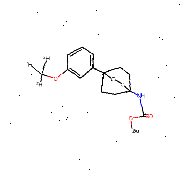 [2H]C([2H])([2H])Oc1cccc(C23CCC(NC(=O)OC(C)(C)C)(CC2)CC3)c1